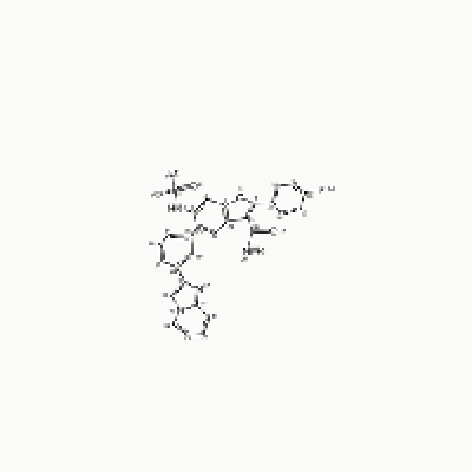 CCS(=O)(=O)Nc1cc2oc(-c3ccc(F)cc3)c(C(=O)NC)c2cc1-c1cncc(-c2cn3ccccc3n2)c1